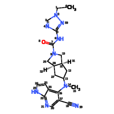 CCn1cnc(NC(=O)N2C[C@H]3CC(N(C)c4c(C#N)cnc5[nH]ccc45)C[C@H]3C2)n1